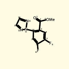 COC(=O)c1cc(F)c(F)cc1-n1nccn1